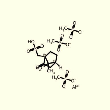 CC1(C)[C@@H]2CC[C@@]1(CS(=O)(=O)O)C(=O)C2.CS(=O)(=O)[O-].CS(=O)(=O)[O-].CS(=O)(=O)[O-].[Al+3]